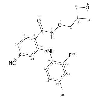 N#Cc1ccc(C(=O)NOCC2COC2)c(Nc2ccc(I)cc2F)c1